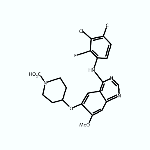 COc1cc2ncnc(Nc3ccc(Cl)c(Cl)c3F)c2cc1OC1CCN(C(=O)O)CC1